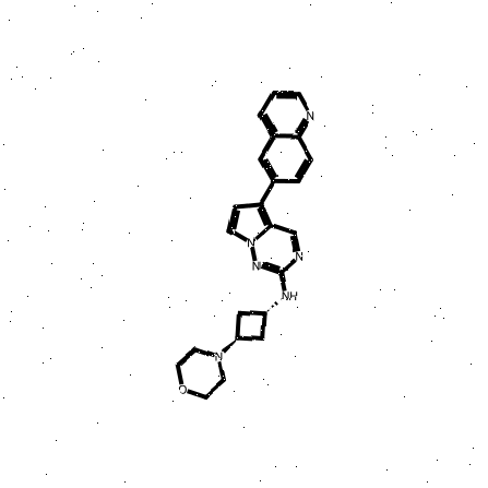 c1cnc2ccc(-c3ccn4nc(N[C@H]5C[C@H](N6CCOCC6)C5)ncc34)cc2c1